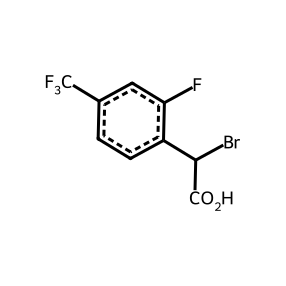 O=C(O)C(Br)c1ccc(C(F)(F)F)cc1F